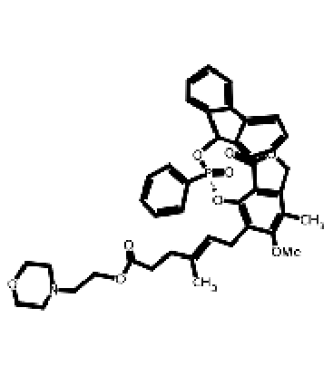 COc1c(C)c2c(c(O[P@@](=O)(OC3c4ccccc4-c4ccccc43)c3ccccc3)c1C/C=C(\C)CCC(=O)OCCN1CCOCC1)C(=O)OC2